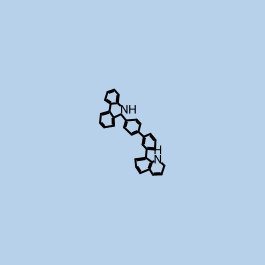 C1=Cc2cccc(-c3cccc(-c4ccc(C5Nc6ccccc6-c6ccccc65)cc4)c3)c2NC1